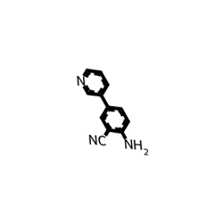 N#Cc1cc(-c2cccnc2)ccc1N